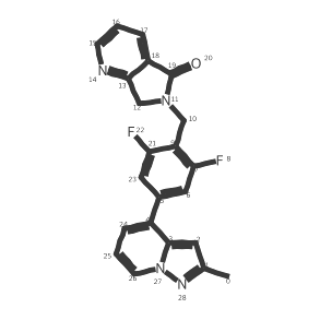 Cc1cc2c(-c3cc(F)c(CN4Cc5ncccc5C4=O)c(F)c3)cccn2n1